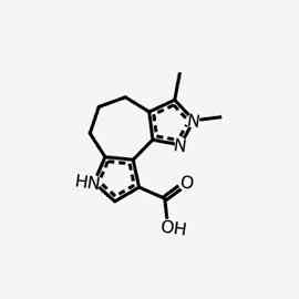 Cc1c2c(nn1C)-c1c(C(=O)O)c[nH]c1CCC2